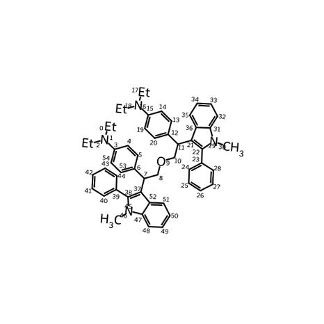 CCN(CC)c1ccc(C(COCC(c2ccc(N(CC)CC)cc2)c2c(-c3ccccc3)n(C)c3ccccc23)c2c(-c3ccccc3)n(C)c3ccccc23)cc1